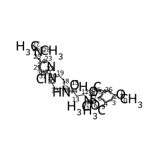 COc1cc(C)c(S(=O)(=O)N(C)CCC(=O)NC2CCN(c3ncc(CN(C)C)cc3Cl)CC2)c(C)c1